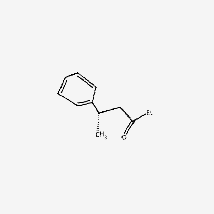 CCC(=O)C[C@H](C)c1ccccc1